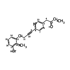 COC(=O)Cc1ccc(C#CCOc2cccc(Br)c2C)nc1